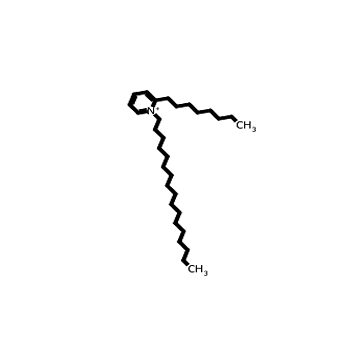 CCCCCCCCCCCCCCCCC[n+]1ccccc1CCCCCCCC